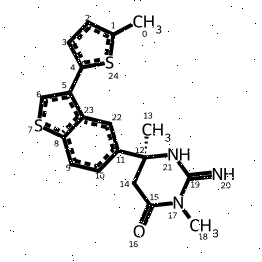 Cc1ccc(-c2csc3ccc([C@]4(C)CC(=O)N(C)C(=N)N4)cc23)s1